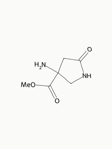 COC(=O)C1(N)CNC(=O)C1